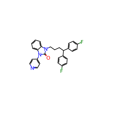 O=c1n(CCCC(c2ccc(F)cc2)c2ccc(F)cc2)c2ccccc2n1-c1ccncc1